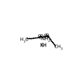 CCCCCCCCCCCCCC(=O)OC(=O)CC[C@H](N)C(=O)OC(=O)CCCCCCCCCCCCC.[KH].[KH]